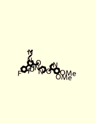 COc1cc2nccc(Oc3ccc(NC(=O)c4cn(CCN(C)C)cc(-c5ccc(F)cc5F)c4=O)nc3)c2cc1OC